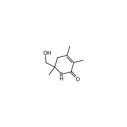 CC1=C(C)C(=O)BC(C)(CO)C1